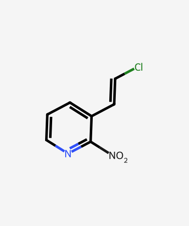 O=[N+]([O-])c1ncccc1C=CCl